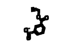 O=C(OCBr)c1cccc([N+](=O)[O-])c1